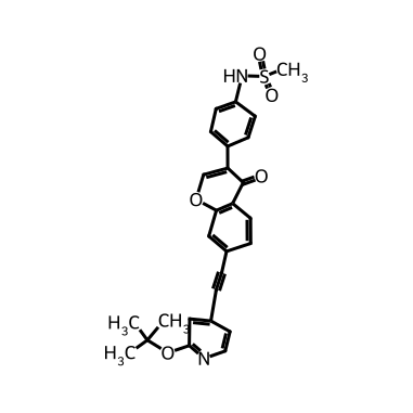 CC(C)(C)Oc1cc(C#Cc2ccc3c(=O)c(-c4ccc(NS(C)(=O)=O)cc4)coc3c2)ccn1